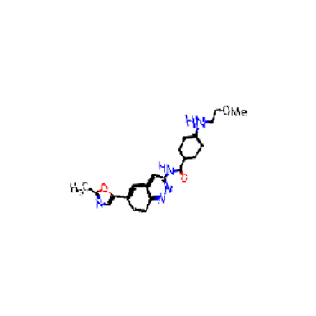 COCCNC1CCC(C(=O)Nc2cc3cc(-c4cnc(C)o4)ccc3nn2)CC1